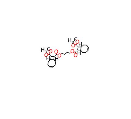 COC(=O)[C@@H]1[C@H]2CC/C=C\CC[C@@H]2[C@@H]1C(=O)OCCCCOC(=O)[C@H]1[C@H]2CC/C=C\CC[C@@H]2[C@H]1C(=O)OC